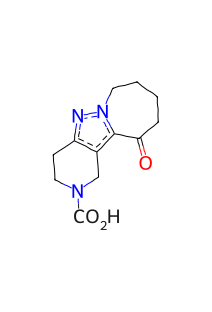 O=C1CCCCn2nc3c(c21)CN(C(=O)O)CC3